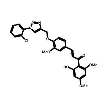 COc1cc(O)c(C(=O)/C=C/c2ccc(OCc3cn(-c4ccccc4Cl)nn3)c(OC)c2)c(OC)c1